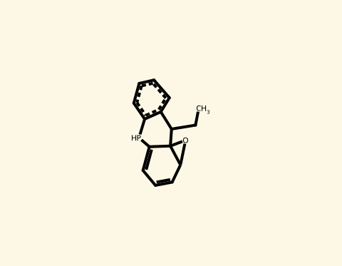 CCC1c2ccccc2PC2=CC=CC3OC231